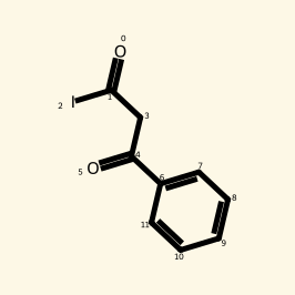 O=C(I)CC(=O)c1ccccc1